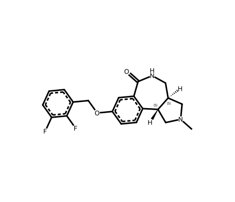 CN1C[C@@H]2CNC(=O)c3cc(OCc4cccc(F)c4F)ccc3[C@H]2C1